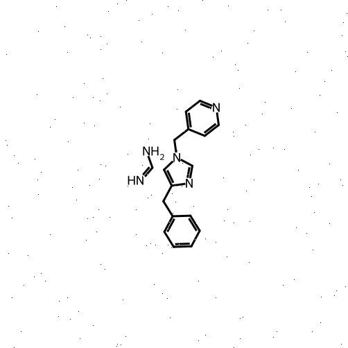 N=CN.c1ccc(Cc2cn(Cc3ccncc3)cn2)cc1